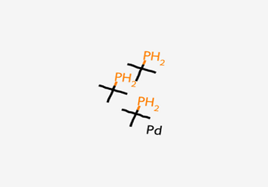 CC(C)(C)P.CC(C)(C)P.CC(C)(C)P.[Pd]